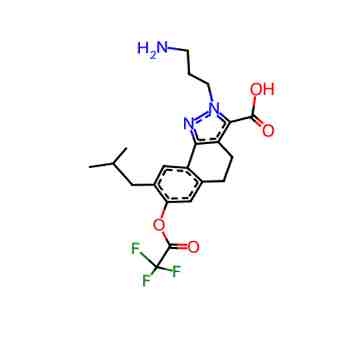 CC(C)Cc1cc2c(cc1OC(=O)C(F)(F)F)CCc1c-2nn(CCCN)c1C(=O)O